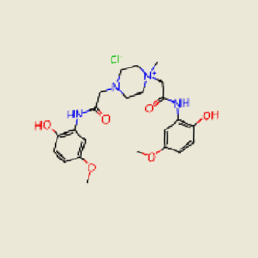 COc1ccc(O)c(NC(=O)CN2CC[N+](C)(CC(=O)Nc3cc(OC)ccc3O)CC2)c1.[Cl-]